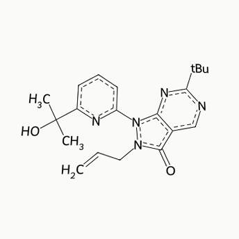 C=CCn1c(=O)c2cnc(C(C)(C)C)nc2n1-c1cccc(C(C)(C)O)n1